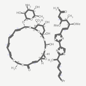 CO/C(=C/C(N)=O)[C@H](C)[C@H](/C=C/c1csc(-c2csc(C(C)/C=C/C=C/C(C)C)n2)n1)OC.C[C@@H]1C/C=C/C=C/C=C/C=C/[C@H](O[C@@H]2O[C@H](C)[C@@H](O)[C@H](N)[C@@H]2O)C[C@@H]2O[C@](O)(C[C@@H](O)C[C@H]3O[C@@H]3/C=C/C(=O)O1)C[C@H](O)[C@H]2C(=O)O